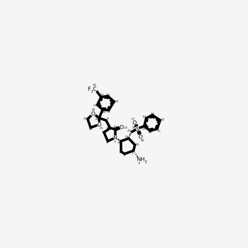 N[C@@H]1CC[C@H](N2CCC(CC3(c4cccc(C(F)(F)F)c4)OCCO3)C2=O)[C@H](CS(=O)(=O)c2ccccc2)C1